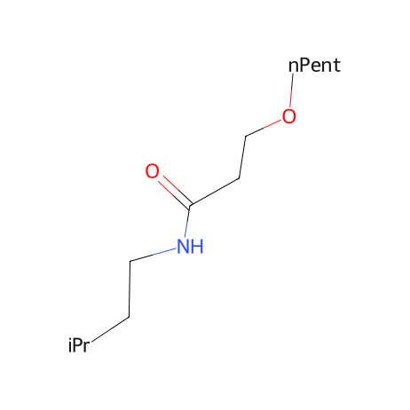 CCCCCOCCC(=O)NCCC(C)C